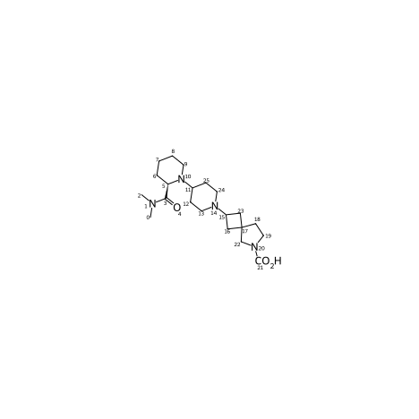 CN(C)C(=O)[C@H]1CCCCN1C1CCN(C2CC3(CCN(C(=O)O)C3)C2)CC1